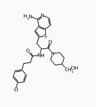 CC1CCN(C(=O)C(Cc2cc3c(N)nccc3s2)NC(=O)CCc2ccc(Cl)cc2)CC1.Cl